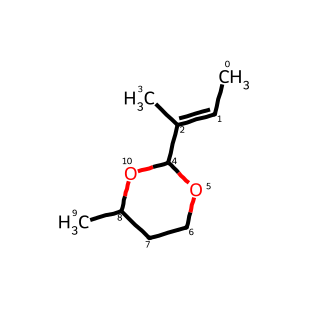 C/C=C(\C)C1OCCC(C)O1